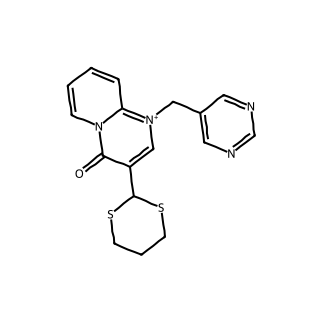 O=c1c(C2SCCCS2)c[n+](Cc2cncnc2)c2ccccn12